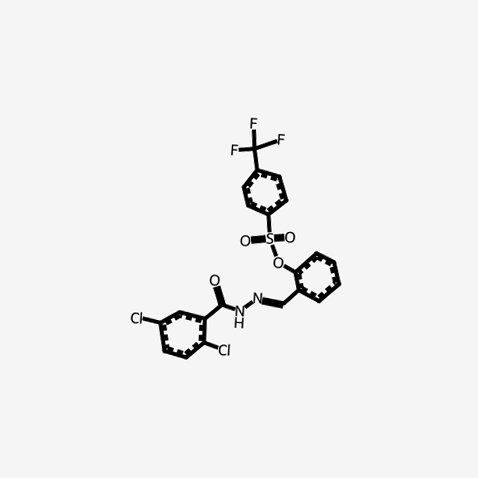 O=C(NN=Cc1ccccc1OS(=O)(=O)c1ccc(C(F)(F)F)cc1)c1cc(Cl)ccc1Cl